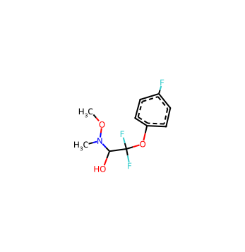 CON(C)C(O)C(F)(F)Oc1ccc(F)cc1